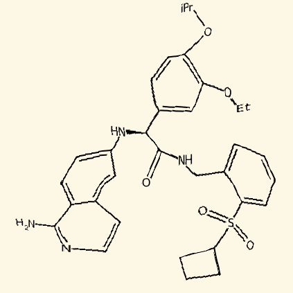 CCOc1cc([C@H](Nc2ccc3c(N)nccc3c2)C(=O)NCc2ccccc2S(=O)(=O)C2CCC2)ccc1OC(C)C